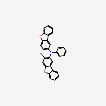 Clc1cc2sc3ccccc3c2cc1N(c1ccccc1)c1ccc2oc3ccccc3c2c1